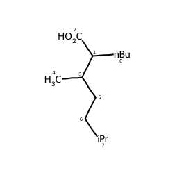 CCCCC(C(=O)O)C(C)CCC(C)C